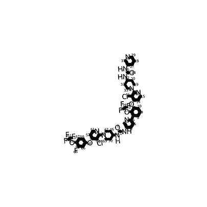 O=C(Nc1ccc(-c2cccc(Oc3ccnc(N4CCC(NC(=O)Nc5cccnc5)CC4)c3Cl)c2OC(F)(F)F)nc1)NC1CCN(c2nccc(Oc3ccc(OC(F)(F)F)c(F)c3)c2Cl)CC1